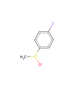 C[S+]([O-])c1ccc(I)cc1